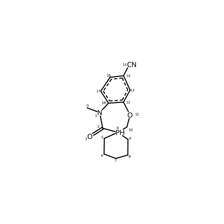 CN1C(=O)[PH]2(CCCCC2)COc2cc(C#N)ccc21